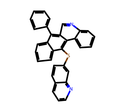 c1ccc(-c2c3ccccc3c(Sc3ccc4cccnc4c3)c3c2cnc2ccccc23)cc1